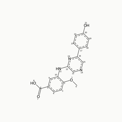 COc1ccc(C(=O)O)cc1Nc1cncc(-c2ccc(O)cc2)n1